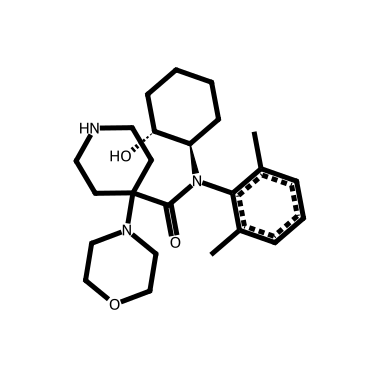 Cc1cccc(C)c1N(C(=O)C1(N2CCOCC2)CCNCC1)[C@@H]1CCCC[C@H]1O